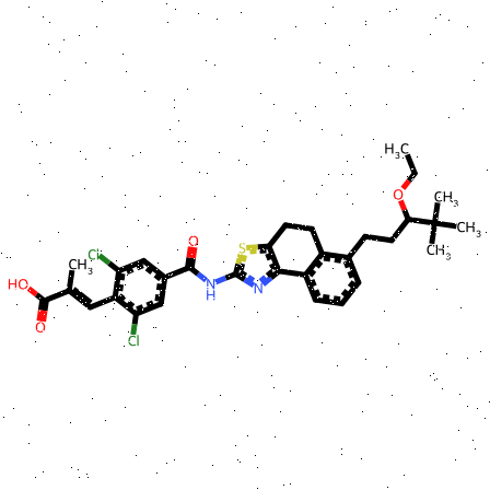 CCOC(CCc1cccc2c1CCc1sc(NC(=O)c3cc(Cl)c(C=C(C)C(=O)O)c(Cl)c3)nc1-2)C(C)(C)C